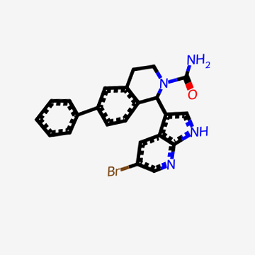 NC(=O)N1CCc2cc(-c3ccccc3)ccc2C1c1c[nH]c2ncc(Br)cc12